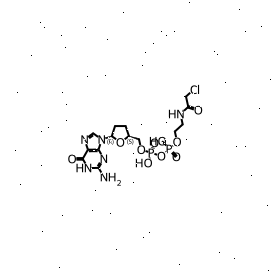 Nc1nc2c(ncn2[C@H]2CC[C@@H](COP(=O)(O)OP(=O)(O)OCCNC(=O)CCl)O2)c(=O)[nH]1